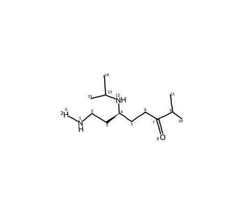 [2H]NCC[C@H](CCC(=O)C(C)C)NC(C)C